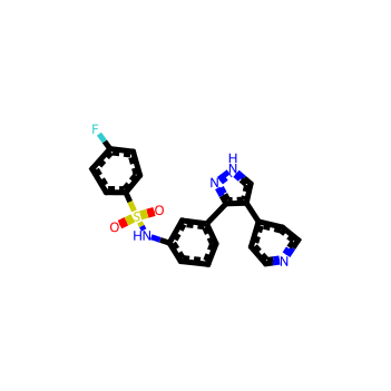 O=S(=O)(Nc1cccc(-c2n[nH]cc2-c2ccncc2)c1)c1ccc(F)cc1